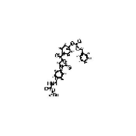 CC(C)(C)OC(=O)NCc1ccc(N2CC(C(=O)N3CCC(OC(=O)OCc4ccccc4)CC3)OC2=O)cc1